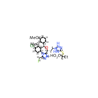 CCC(C)(SC1=NNN(CC[C@H]2O[C@H](c3cccc(OC)c3OC)c3cc(Cl)ccc3-n3c(CF)nnc32)N1)C(=O)O